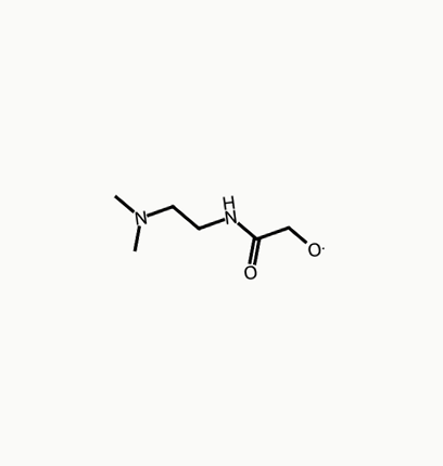 CN(C)CCNC(=O)C[O]